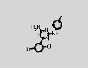 Cc1ccc(Nc2nc(N)nc(-c3cc(Br)ccc3Cl)n2)cc1